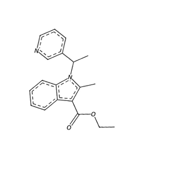 CCOC(=O)c1c(C)n(C(C)c2cccnc2)c2ccccc12